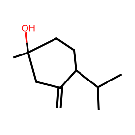 C=C1CC(C)(O)CCC1C(C)C